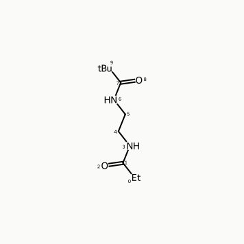 CCC(=O)NCCNC(=O)C(C)(C)C